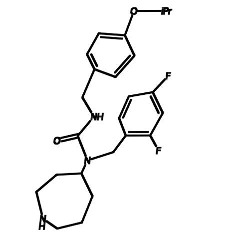 CC(C)Oc1ccc(CNC(=O)N(Cc2ccc(F)cc2F)C2CCCNCC2)cc1